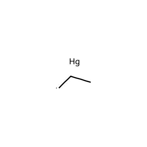 [CH2]CC.[Hg]